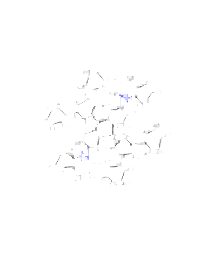 c1ccc(-c2cc(-c3ccccc3)cc(-c3c4ccc(N5CCCc6ccccc65)cc4c(-c4cc(-c5ccccc5)cc(-c5ccccc5)c4)c4ccc(N5CCCc6ccccc65)cc34)c2)cc1